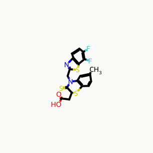 Cc1ccc2c(c1)N(Cc1nc3ccc(F)c(F)c3s1)C(=S)C(CC(=O)O)S2